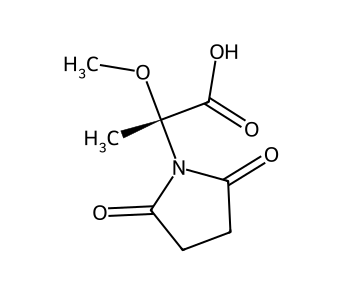 CO[C@](C)(C(=O)O)N1C(=O)CCC1=O